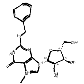 C[n+]1cn([C@@H]2O[C@H](CO)[C@@H](O)[C@H]2O)c2nc(NCc3ccccc3)[nH]c(=O)c21